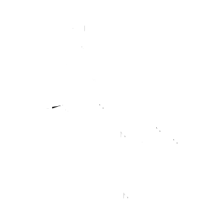 N#Cc1cnn2ccc(N3C[C@@H](F)C[C@@H]3c3cc(F)ccc3C(=O)O)nc12